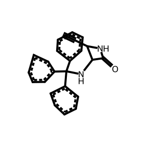 C#CC1NC(=O)C1NC(c1ccccc1)(c1ccccc1)c1ccccc1